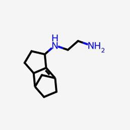 NCCNC1CCC2C1=C1CCC2C1